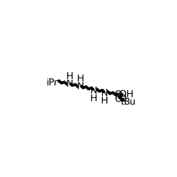 CC(C)CCCCNCCCNCCCCNCCCNCCCCOP(=O)(O)OC(C)(C)C